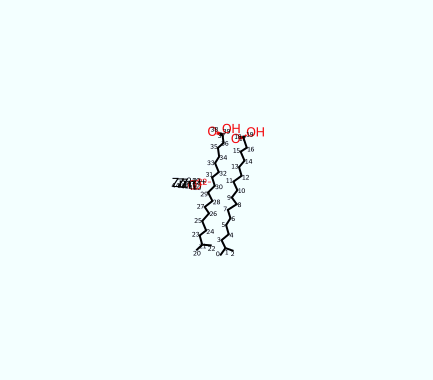 CC(C)CCCCCCCCCCCCCCC(=O)O.CC(C)CCCCCCCCCCCCCCC(=O)O.[O-2].[O-2].[Zn+2].[Zn+2].[Zn+2]